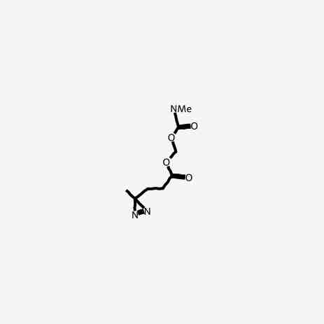 CNC(=O)OCOC(=O)CCC1(C)N=N1